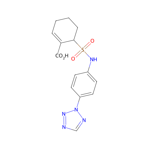 O=C(O)C1=CCCCC1S(=O)(=O)Nc1ccc(-n2ncnn2)cc1